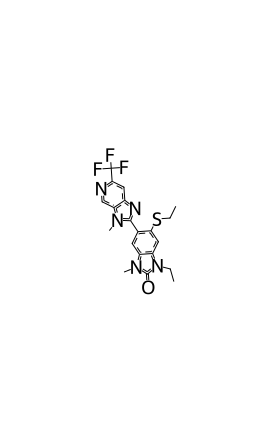 CCSc1cc2c(cc1-c1nc3cc(C(F)(F)F)ncc3n1C)n(C)c(=O)n2CC